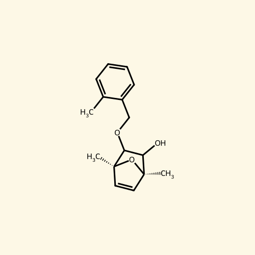 Cc1ccccc1COC1C(O)[C@@]2(C)C=C[C@]1(C)O2